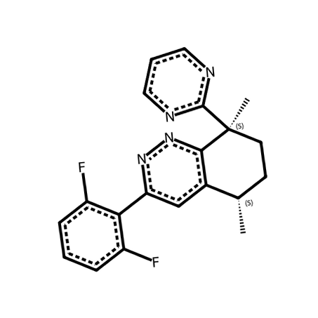 C[C@H]1CC[C@](C)(c2ncccn2)c2nnc(-c3c(F)cccc3F)cc21